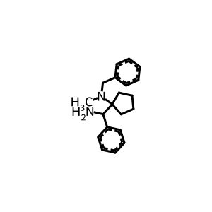 CN(Cc1ccccc1)C1(C(N)c2ccccc2)CCCC1